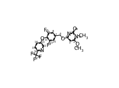 COc1cc(OCc2cc(F)c(Oc3ccc(C(F)(F)F)nc3)c(F)c2)nc(=O)n1C